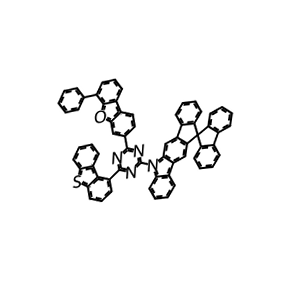 c1ccc(-c2cccc3c2oc2cc(-c4nc(-c5cccc6sc7ccccc7c56)nc(-n5c6ccccc6c6cc7c(cc65)-c5ccccc5C75c6ccccc6-c6ccccc65)n4)ccc23)cc1